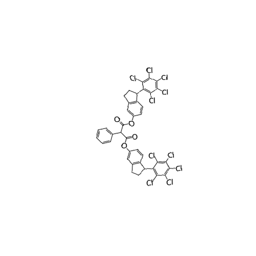 O=C(Oc1ccc2c(c1)CCC2c1c(Cl)c(Cl)c(Cl)c(Cl)c1Cl)C(C(=O)Oc1ccc2c(c1)CCC2c1c(Cl)c(Cl)c(Cl)c(Cl)c1Cl)c1ccccc1